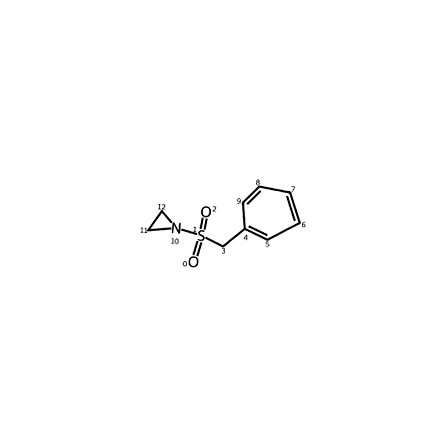 O=S(=O)(Cc1ccccc1)N1CC1